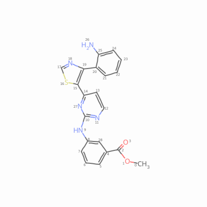 COC(=O)c1cccc(Nc2nccc(-c3scnc3-c3ccccc3N)n2)c1